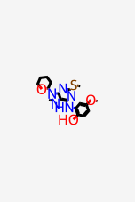 COc1ccc(O)c(Nc2nc(SC)nc3c2ncn3C2CCCCO2)c1